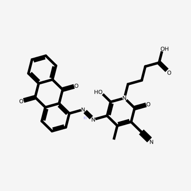 Cc1c(/N=N/c2cccc3c2C(=O)c2ccccc2C3=O)c(O)n(CCCC(=O)O)c(=O)c1C#N